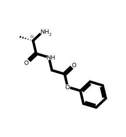 C[C@H](N)C(=O)NCC(=O)Oc1ccccc1